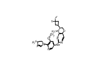 COc1cc(Nc2ncc3c(n2)N(C)C(C2CC(F)(F)C2)CO3)cnc1-n1cnc(C)c1